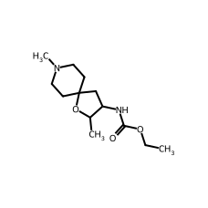 CCOC(=O)NC1CC2(CCN(C)CC2)OC1C